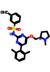 Cc1cccc(C)c1-c1cc(OC[C@H]2CCCN2C)nc(NS(=O)(=O)c2cccc(C=O)c2)n1